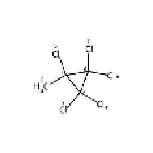 CC1(Cl)C(Cl)(Cl)C1(Cl)Cl